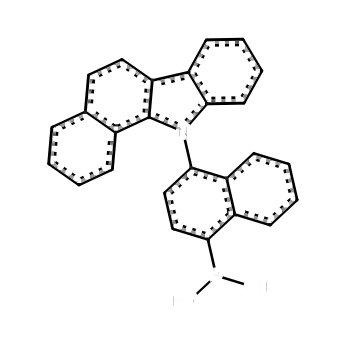 OB(O)c1ccc(-n2c3ccccc3c3ccc4ccccc4c32)c2ccccc12